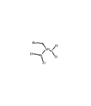 CCC(C)C[SiH](N(CC)CC)N(CC)CC